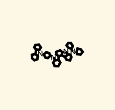 c1ccc(N2c3ccccc3-n3c4ccc5c(c6ccccc6n5-c5ccc(-n6c7ccccc7c7ccccc76)cc5)c4c4cccc2c43)cc1